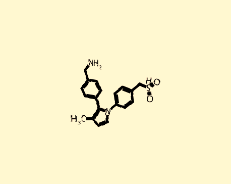 Cc1ccn(-c2ccc(C[SH](=O)=O)cc2)c1-c1ccc(CN)cc1